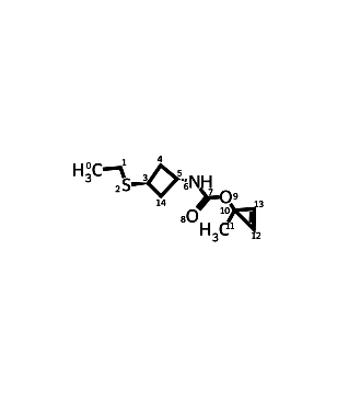 CCS[C@H]1C[C@H](NC(=O)OC2(C)C=C2)C1